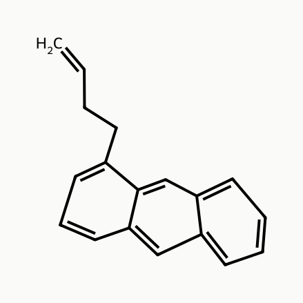 C=CCCc1cccc2cc3ccccc3cc12